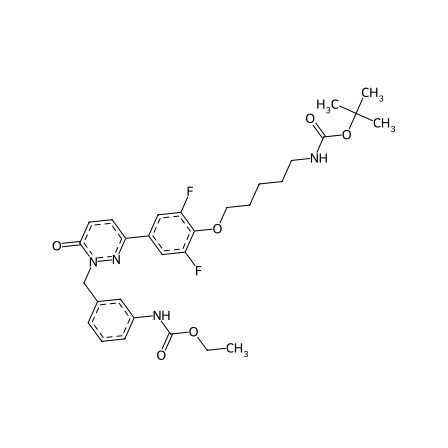 CCOC(=O)Nc1cccc(Cn2nc(-c3cc(F)c(OCCCCCNC(=O)OC(C)(C)C)c(F)c3)ccc2=O)c1